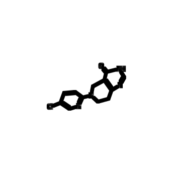 O=c1[nH]cnc2c1CN(c1ccc(Cl)cn1)CC2